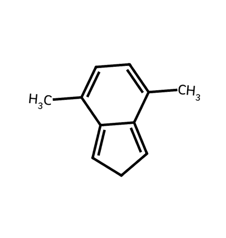 Cc1ccc(C)c2c1=CCC=2